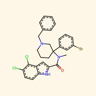 CN(C(=O)c1cc2c(Cl)c(Cl)ccc2[nH]1)C1(c2cccc(Br)c2)CCCN(Cc2ccccc2)C1